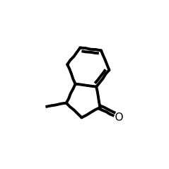 CC1CC(=O)C2=CC=CCC21